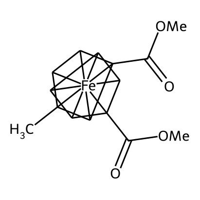 COC(=O)[C]12[CH]3[CH]4[CH]5[CH]1[Fe]45321678[CH]2[CH]1[C]6(C(=O)OC)[CH]7[C]28C